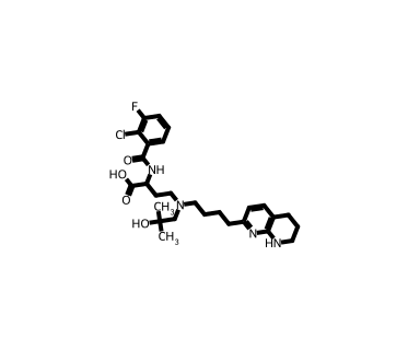 CC(C)(O)CN(CCCCc1ccc2c(n1)NCCC2)CCC(NC(=O)c1cccc(F)c1Cl)C(=O)O